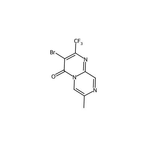 Cc1cn2c(=O)c(Br)c(C(F)(F)F)nc2cn1